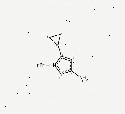 CCCn1nc(N)cc1C1CC1